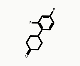 O=C1CCC(c2ccc(F)cc2F)CC1